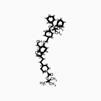 CC(C)(C)OC(=O)N1CCC(CCc2noc3c(CO)c(OCC4CCC(O[Si](c5ccccc5)(c5ccccc5)C(C)(C)C)CC4)ccc23)CC1